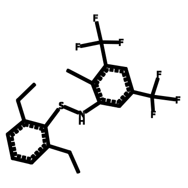 CCc1cccc(CC)c1SNc1cc(C(F)(F)F)cc(C(F)(F)F)c1C